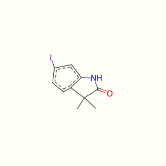 CC1(C)C(=O)Nc2cc(I)ccc21